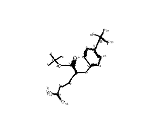 CC(C)(C)OC(=O)C(CCC(=O)O)Cc1ccc(C(F)(F)F)cc1